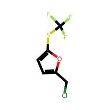 FC(F)(F)Sc1ccc(CCl)o1